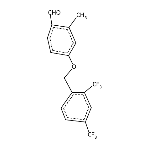 Cc1cc(OCc2ccc(C(F)(F)F)cc2C(F)(F)F)ccc1C=O